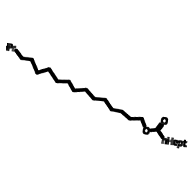 CCCCCCCC(=O)OCCCCCCCCCCCCCCC(C)C